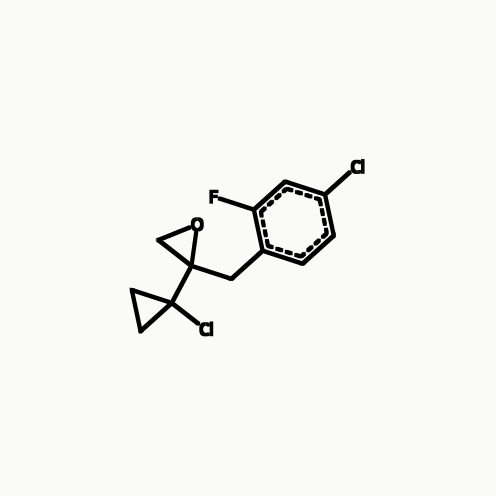 Fc1cc(Cl)ccc1CC1(C2(Cl)CC2)CO1